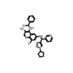 CCC(Nc1c(C#N)cnc2c(Cl)cc(NC(c3cccnc3)c3cn(C4CCCC4)nn3)cc12)c1ccccc1